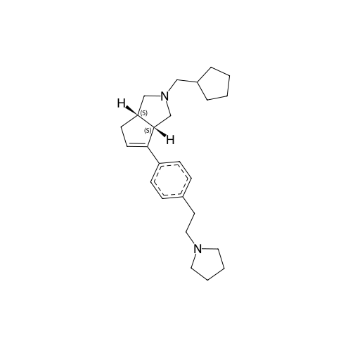 C1=C(c2ccc(CCN3CCCC3)cc2)[C@H]2CN(CC3CCCC3)C[C@H]2C1